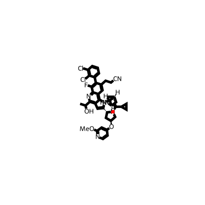 COc1cc(O[C@H]2C[C@H](c3cc4c(C(C)O)nc5c(F)c(-c6cccc(Cl)c6Cl)c(CCC#N)cc5c4n3[C@H]3[C@H]4CN[C@@H]3C4)N(C(=O)C3CC3)C2)ccn1